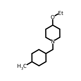 CCOC1CCN(CC2CCC(C)CC2)CC1